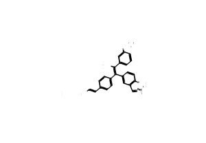 CCC(=C(c1ccc(C=CC(=O)O)cc1)c1ccc2[nH]ncc2c1)c1cccc(OC)c1